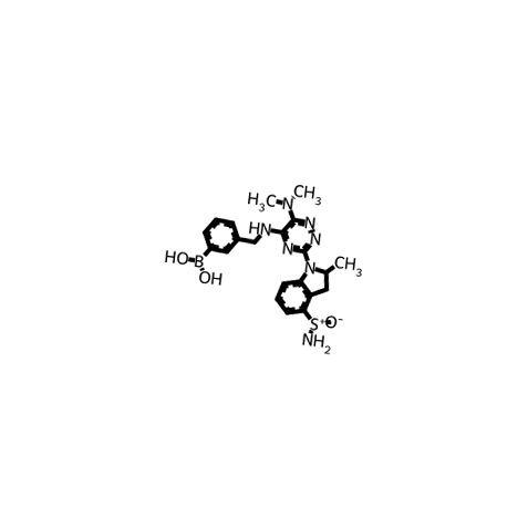 CC1Cc2c(cccc2[S+](N)[O-])N1c1nnc(N(C)C)c(NCc2cccc(B(O)O)c2)n1